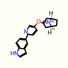 c1cc2cc(-c3ccc(O[C@H]4C[C@H]5CC[C@@H](C4)N5)cn3)ccc2[nH]1